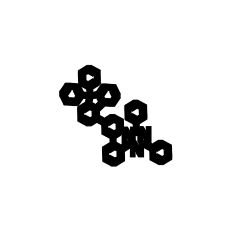 c1ccc(-c2nc(-c3ccccc3)nc(-c3ccccc3-c3cccc(-c4cccc5c4-c4ccccc4C5(c4ccccc4)c4ccccc4)c3)n2)cc1